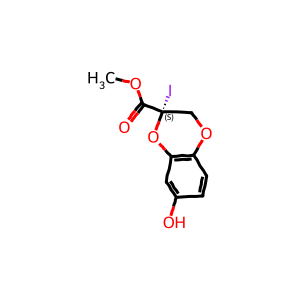 COC(=O)[C@@]1(I)COc2ccc(O)cc2O1